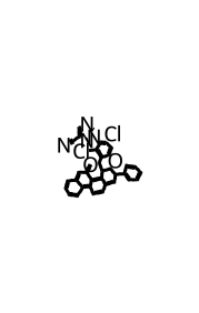 N#Cc1cncnn1.O=C1C=c2ccccc2=c2ccc3c(c21)C(Cc1ccc(Cl)cc1Cl)C(=O)C(c1ccccc1)C=3